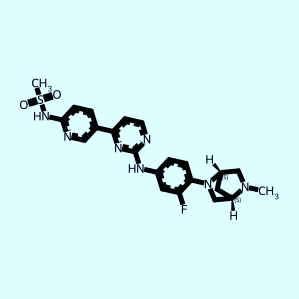 CN1C[C@@H]2C[C@H]1CN2c1ccc(Nc2nccc(-c3ccc(NS(C)(=O)=O)nc3)n2)cc1F